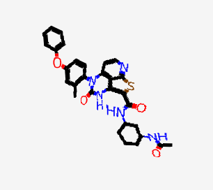 CC(=O)N[C@H]1CCC[C@@H](NC(=O)c2sc3nccc4c3c2NC(=O)N4c2ccc(Oc3ccccc3)cc2C)C1